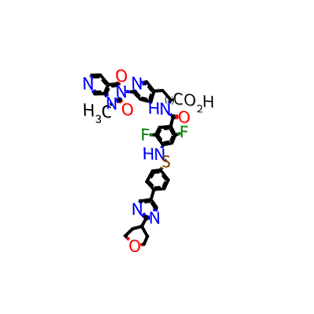 Cn1c(=O)n(-c2ccc(C[C@H](NC(=O)c3cc(F)c(NSc4ccc(-c5cnc(C6CCOCC6)nc5)cc4)cc3F)C(=O)O)cn2)c(=O)c2ccncc21